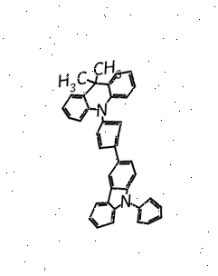 CC1(C)c2ccccc2N(c2ccc(-c3ccc4c(c3)c3ccccc3n4-c3ccccc3)cc2)c2ccccc21